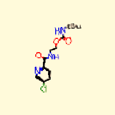 CC(C)(C)NC(=O)OCCNC(=O)c1ccc(Cl)cn1